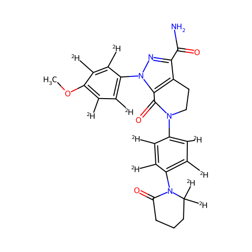 [2H]c1c([2H])c(-n2nc(C(N)=O)c3c2C(=O)N(c2c([2H])c([2H])c(N4C(=O)CCCC4([2H])[2H])c([2H])c2[2H])CC3)c([2H])c([2H])c1OC